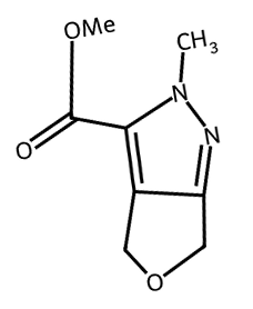 COC(=O)c1c2c(nn1C)COC2